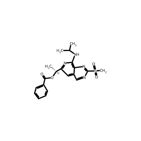 CC(C)Nc1nc([C@@H](C)OC(=O)c2ccccc2)cc2cnc(S(C)(=O)=O)nc12